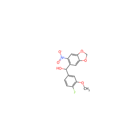 COc1cc(C(O)c2cc3c(cc2[N+](=O)[O-])OCO3)ccc1F